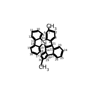 Cc1ccc2c(c1)[Si]1(c3ccccc3-c3ccccc31)c1c-2c2ccccc2c2cc(C)ccc12